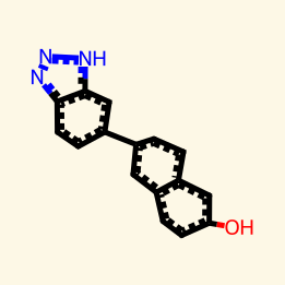 Oc1ccc2cc(-c3ccc4nn[nH]c4c3)ccc2c1